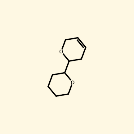 C1=CCC(C2CCCCO2)OC1